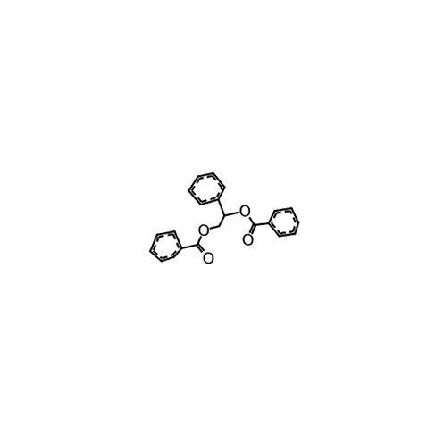 O=C(OCC(OC(=O)c1ccccc1)c1ccccc1)c1ccccc1